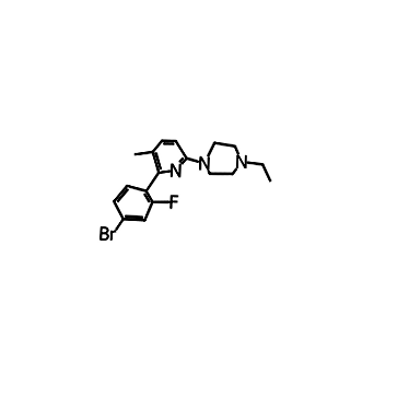 CCN1CCN(c2ccc(C)c(-c3ccc(Br)cc3F)n2)CC1